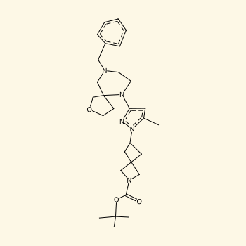 Cc1cc(N2CCN(Cc3ccccc3)CC23CCOC3)nn1C1CC2(C1)CN(C(=O)OC(C)(C)C)C2